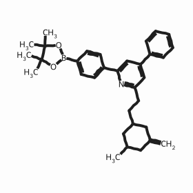 C=C1CC(C)CC(CCc2cc(-c3ccccc3)cc(-c3ccc(B4OC(C)(C)C(C)(C)O4)cc3)n2)C1